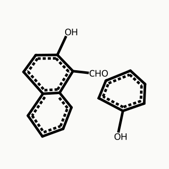 O=Cc1c(O)ccc2ccccc12.Oc1ccccc1